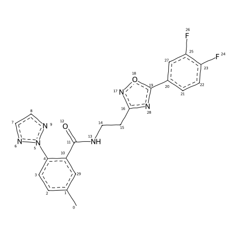 Cc1ccc(-n2nccn2)c(C(=O)NCCc2noc(-c3ccc(F)c(F)c3)n2)c1